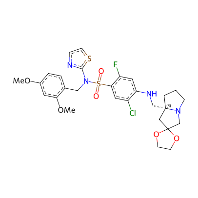 COc1ccc(CN(c2nccs2)S(=O)(=O)c2cc(Cl)c(NC[C@]34CCCN3CC3(C4)OCCO3)cc2F)c(OC)c1